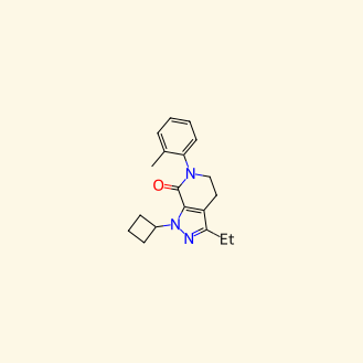 CCc1nn(C2CCC2)c2c1CCN(c1ccccc1C)C2=O